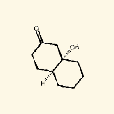 O=C1CC[C@@H]2CCCC[C@]2(O)C1